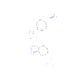 N#Cc1ccc(NS(=O)(=O)c2c[nH]c3cc(C[SH](=O)=O)ccc23)cc1